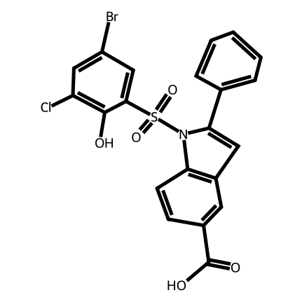 O=C(O)c1ccc2c(c1)cc(-c1ccccc1)n2S(=O)(=O)c1cc(Br)cc(Cl)c1O